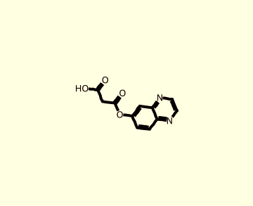 O=C(O)CC(=O)Oc1ccc2nccnc2c1